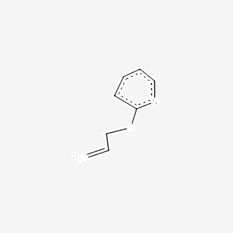 C=C[CH]Oc1ccccn1